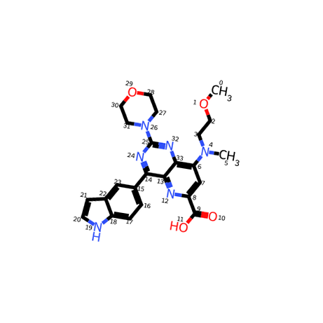 COCCN(C)c1cc(C(=O)O)nc2c(-c3ccc4[nH]ccc4c3)nc(N3CCOCC3)nc12